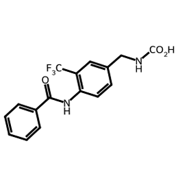 O=C(O)NCc1ccc(NC(=O)c2ccccc2)c(C(F)(F)F)c1